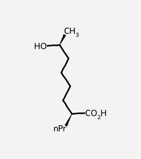 CCC[C@@H](CCCC[C@H](C)O)C(=O)O